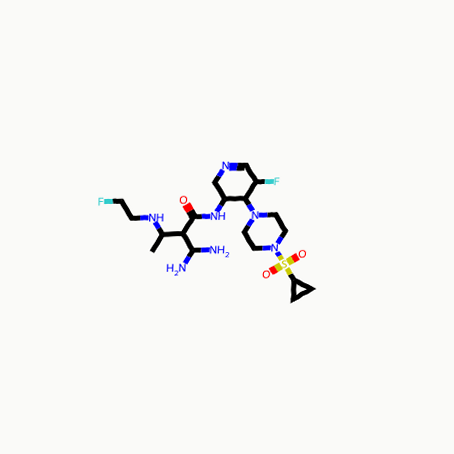 CC(NCCF)C(C(=O)NC1CN=CC(F)C1N1CCN(S(=O)(=O)C2CC2)CC1)C(N)N